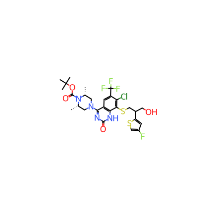 C[C@@H]1CN(c2nc(=O)[nH]c3c(SCC(CO)c4cc(F)cs4)c(Cl)c(C(F)(F)F)cc23)C[C@H](C)N1C(=O)OC(C)(C)C